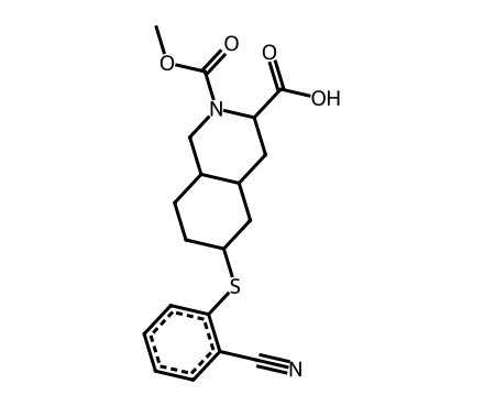 COC(=O)N1CC2CCC(Sc3ccccc3C#N)CC2CC1C(=O)O